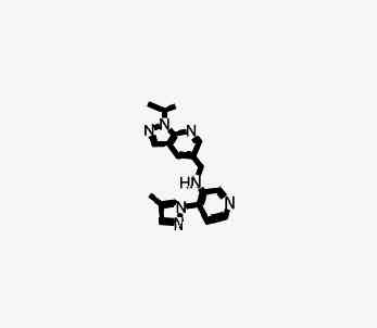 Cc1cnn(-c2ccncc2NCc2cnc3c(cnn3C(C)C)c2)c1